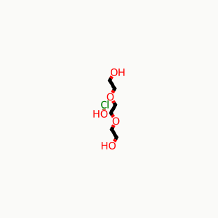 OCCOCCOCCO.OCl